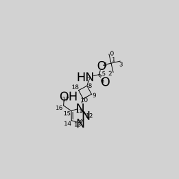 CC(C)(C)OC(=O)NC1CC(n2nncc2CO)C1